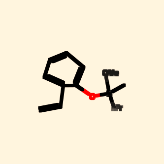 C=Cc1ccccc1O[Si](C)(CCC)OC